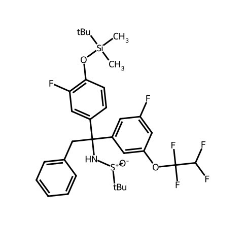 CC(C)(C)[S+]([O-])NC(Cc1ccccc1)(c1cc(F)cc(OC(F)(F)C(F)F)c1)c1ccc(O[Si](C)(C)C(C)(C)C)c(F)c1